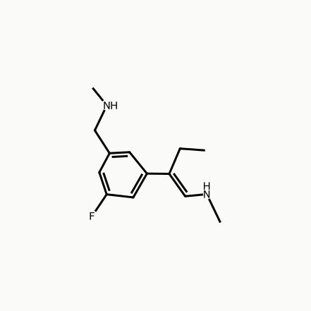 CC/C(=C\NC)c1cc(F)cc(CNC)c1